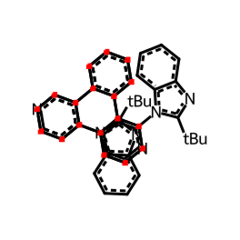 CC(C)(C)c1nc2ccccc2n1-c1ccccc1-c1ccccc1-c1cnccc1-c1ccncc1-c1ccccc1-c1ccccc1-n1c(C(C)(C)C)nc2ccccc21